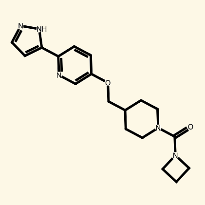 O=C(N1CCC1)N1CCC(COc2ccc(-c3ccn[nH]3)nc2)CC1